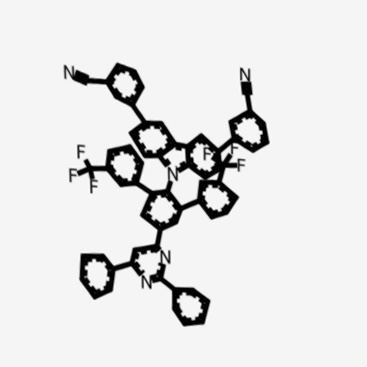 N#Cc1cccc(-c2ccc3c(c2)c2cc(-c4cccc(C#N)c4)ccc2n3-c2c(-c3cccc(C(F)(F)F)c3)cc(-c3cc(-c4ccccc4)nc(-c4ccccc4)n3)cc2-c2cccc(C(F)(F)F)c2)c1